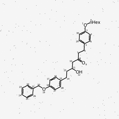 CCCCCCOc1ccc(CCC(=O)CC(O)CCc2ccc(OCc3ccccc3)cc2)cc1